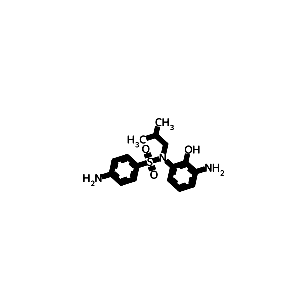 CC(C)CN(c1cccc(N)c1O)S(=O)(=O)c1ccc(N)cc1